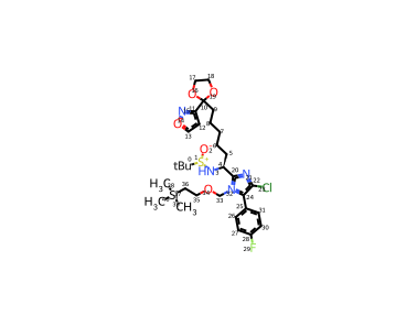 CC(C)(C)[S+]([O-])N[C@@H](CCCCCC1(c2ccon2)OCCO1)c1nc(Cl)c(-c2ccc(F)cc2)n1COCC[Si](C)(C)C